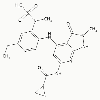 CCc1ccc(Nc2cc(NC(=O)C3CC3)nc3[nH]n(C)c(=O)c23)c(N(C)S(C)(=O)=O)c1